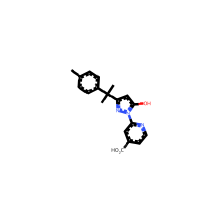 Cc1ccc(C(C)(C)c2cc(O)n(-c3cc(C(=O)O)ccn3)n2)cc1